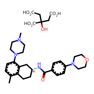 Cc1ccc(N2CCN(C)CC2)c2c1CC[C@@H](NC(=O)c1ccc(N3CCOCC3)cc1)C2.O=C(O)CC(O)(CC(=O)O)C(=O)O